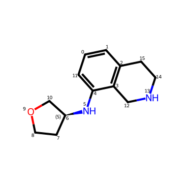 c1cc2c(c(N[C@H]3CCOC3)c1)CNCC2